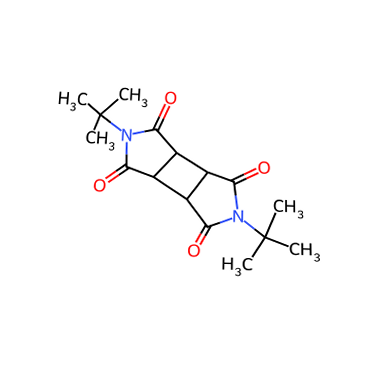 CC(C)(C)N1C(=O)C2C(C1=O)C1C(=O)N(C(C)(C)C)C(=O)C21